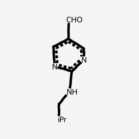 CC(C)CNc1ncc(C=O)cn1